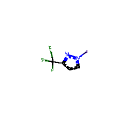 FC(F)(F)c1ccn(I)n1